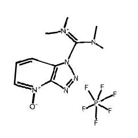 CN(C)C(n1nnc2c1ccc[n+]2[O-])=[N+](C)C.F[P-](F)(F)(F)(F)F